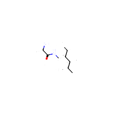 CCCC[C@@H](C)[C@@H](C)[C@H](CNC(=O)[C@H](C)N)CC(=O)O